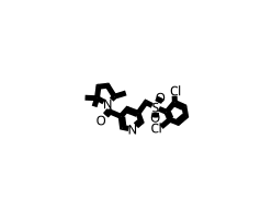 CC1CCC(C)(C)N1C(=O)c1cncc(CS(=O)(=O)c2c(Cl)cccc2Cl)c1